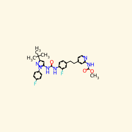 COC(=O)Nc1cc(CCc2ccc(NC(=O)Nc3cc(C(C)(C)C)nn3-c3ccc(F)cc3)c(F)c2)ccn1